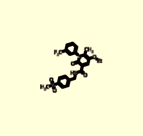 CCOc1cc(C(=O)NCc2ccc(S(C)(=O)=O)cc2)c(=O)n(-c2cccc(C(F)(F)F)c2)c1C